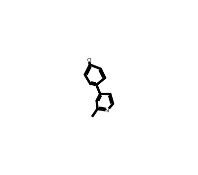 Cc1cc(-c2ccc(Cl)cc2)ccn1